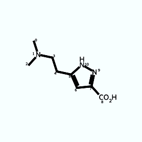 CN(C)CCc1cc(C(=O)O)n[nH]1